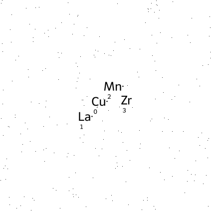 [Cu].[La].[Mn].[Zr]